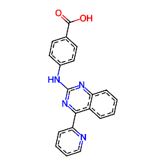 O=C(O)c1ccc(Nc2nc(-c3ccccn3)c3ccccc3n2)cc1